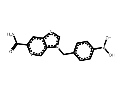 NC(=O)c1cc2ncn(Cc3ccc(B(O)O)cc3)c2cn1